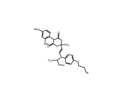 CCCCCC(C)N(C=CC1(C)OC(=O)C(c2ccc(OC)cc2OC)C(=O)O1)c1ccc(OCCC(C)C)cc1